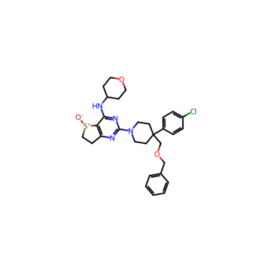 [O-][S+]1CCc2nc(N3CCC(COCc4ccccc4)(c4ccc(Cl)cc4)CC3)nc(NC3CCOCC3)c21